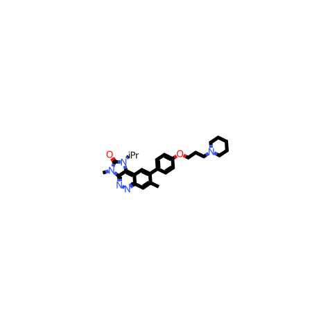 Cc1cc2nnc3c(c2cc1-c1ccc(OCCCN2CCCCC2)cc1)n(C(C)C)c(=O)n3C